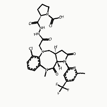 Cc1cc(C(F)(F)F)cc(N2C(=O)C[C@@H]3CN(CC(=O)NNC(=O)[C@H]4CCCN4C(=O)O)c4c(Cl)cccc4N(C)C(=O)[C@H]32)n1